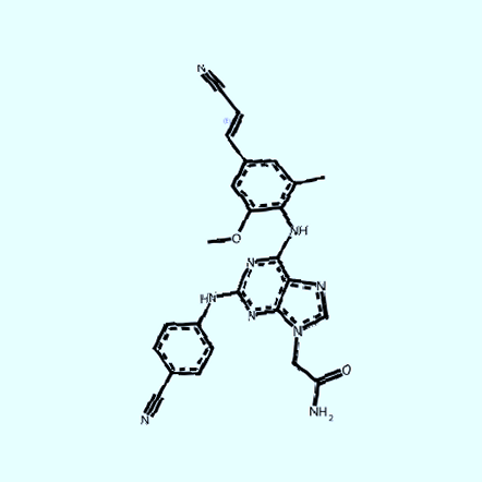 COc1cc(/C=C/C#N)cc(C)c1Nc1nc(Nc2ccc(C#N)cc2)nc2c1ncn2CC(N)=O